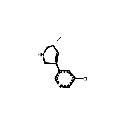 C[C@@H]1C=C(c2cncc(Cl)c2)CNC1